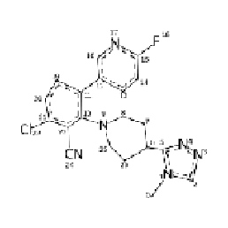 Cn1cnnc1C1CCN(c2c(-c3ccc(F)nc3)ccc(Cl)c2C#N)CC1